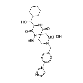 CCCCN1C(=O)[C@@H]([C@H](O)C2CCCCC2)NC(=O)C12CCN(Cc1ccc(-n3ccnc3)cc1)CC2.Cl.Cl